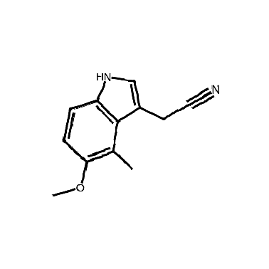 COc1ccc2[nH]cc(CC#N)c2c1C